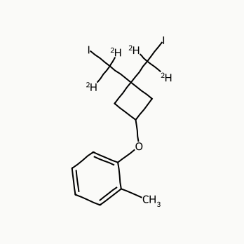 [2H]C([2H])(I)C1(C([2H])([2H])I)CC(Oc2ccccc2C)C1